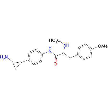 COc1ccc(CC(NC(=O)O)C(=O)Nc2ccc(C3CC3N)cc2)cc1